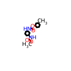 COC(=O)Nc1cccc(NC(=O)Oc2cccc(C)c2)c1